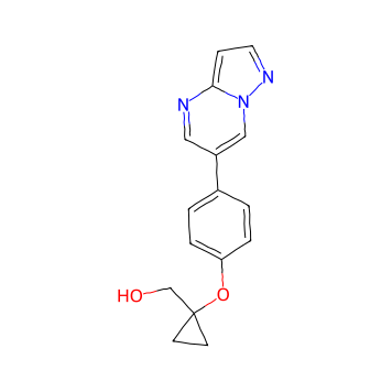 OCC1(Oc2ccc(-c3cnc4ccnn4c3)cc2)CC1